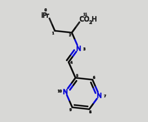 CC(C)CC(/N=C/c1cnccn1)C(=O)O